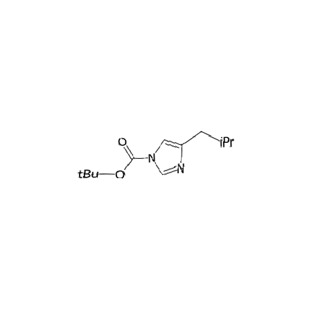 CC(C)Cc1cn(C(=O)OC(C)(C)C)cn1